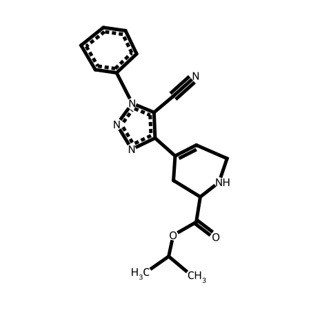 CC(C)OC(=O)C1CC(c2nnn(-c3ccccc3)c2C#N)=CCN1